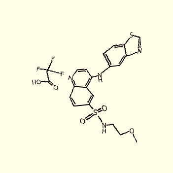 COCCNS(=O)(=O)c1ccc2nccc(Nc3ccc4scnc4c3)c2c1.O=C(O)C(F)(F)F